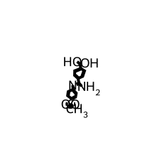 CS(=O)(=O)c1ccc(N=C(N)c2ccc(C(O)O)cc2)cc1